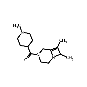 CC1=C2CN(C(=O)C3CCN(C)CC3)CCN2C1C